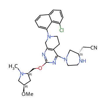 CO[C@@H]1C[C@H](COc2nc3c(c(N4CCN[C@@H](CC#N)C4)n2)CCN(c2cccc4cccc(Cl)c24)C3)N(C)C1